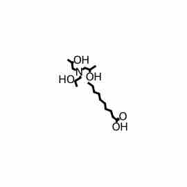 CC(O)CN(CC(C)O)CC(C)O.CCCCCCCCCC(=O)O